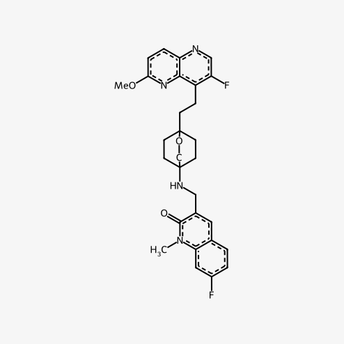 COc1ccc2ncc(F)c(CCC34CCC(NCc5cc6ccc(F)cc6n(C)c5=O)(CC3)CO4)c2n1